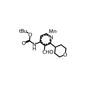 CC(C)(C)OC(=O)Nc1ccnc(C2CCOCC2)c1C=O.[Mn]